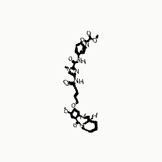 COC(=O)c1nc2cc(NC(=O)c3nc(NC(=O)CCCOc4cc5c(cc4OC)C(=O)N4CCCC[C@H]4C=N5)cn3C)ccc2o1